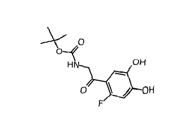 CC(C)(C)OC(=O)NCC(=O)c1cc(O)c(O)cc1F